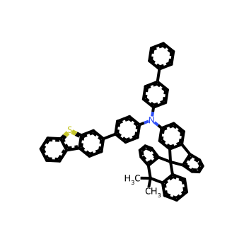 CC1(C)c2ccccc2C2(c3ccccc3-c3ccc(N(c4ccc(-c5ccccc5)cc4)c4ccc(-c5ccc6c(c5)sc5ccccc56)cc4)cc32)c2ccccc21